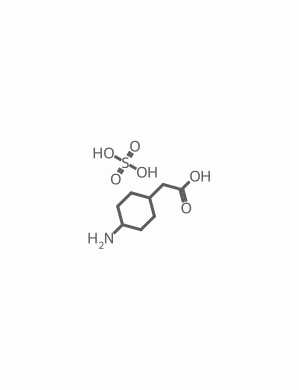 NC1CCC(CC(=O)O)CC1.O=S(=O)(O)O